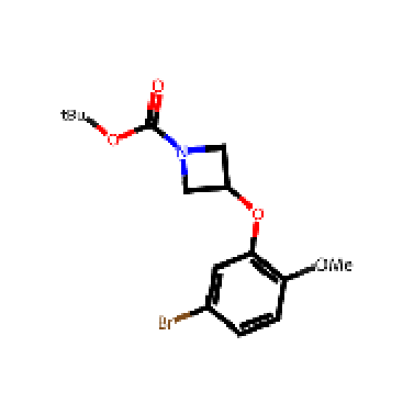 COc1ccc(Br)cc1OC1CN(C(=O)OC(C)(C)C)C1